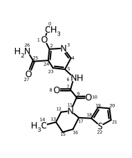 COc1ncc(NC(=O)C(=O)N2CC(C)CCC2c2cccs2)cc1C(N)=O